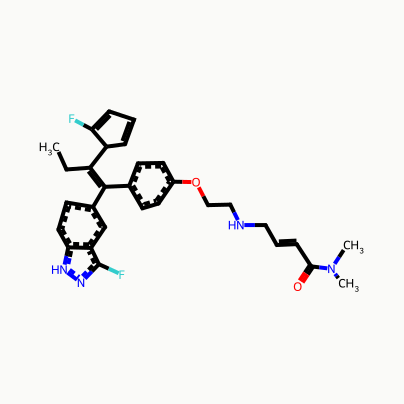 CC/C(=C(/c1ccc(OCCNC/C=C/C(=O)N(C)C)cc1)c1ccc2[nH]nc(F)c2c1)C1C=CC=C1F